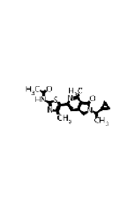 CC(=O)Nc1nc(C)c(-c2cc3c(c(C)n2)C(=O)N(C(C)C2CC2)C3)s1